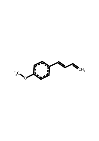 C=C/C=C/c1ccc(OC(F)(F)F)cc1